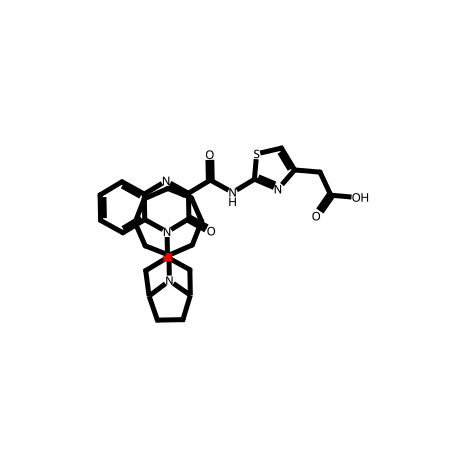 O=C(O)Cc1csc(NC(=O)c2nc3ccccc3n(C3CC4CCC(C3)N4C3CCCCCCC3)c2=O)n1